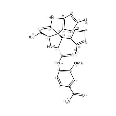 COc1cc(C(N)=O)ccc1NC(=O)[C@@H]1N[C@@H](CC(C)(C)C)[C@@]2(C(=O)Nc3cc(Cl)sc32)C1C1C=CC=C1Cl